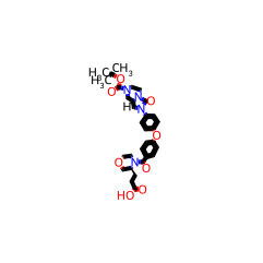 CC(C)(C)OC(=O)N1CCN2C(=O)N(c3ccc(Oc4ccc(C(=O)N5CCOC[C@@H]5CCC(=O)O)cc4)cc3)C[C@@H]2C1